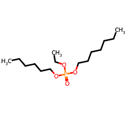 CCCCCCCOP(=O)(OCC)OCCCCCC